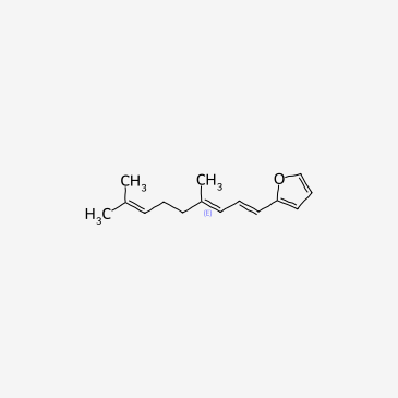 CC(C)=CCC/C(C)=C/C=Cc1ccco1